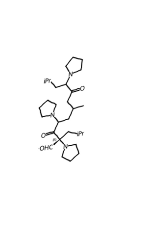 CC(C)CC(C(=O)CC(C)CC(C(=O)[C@]([C]=O)(CC(C)C)N1CCCC1)N1CCCC1)N1CCCC1